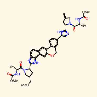 C=C1C[C@@H](c2ncc(-c3ccc4c(c3)COc3cc5c(ccc6nc([C@@H]7C[C@H](COC)CN7C(=O)[C@@H](NC(=O)OC)C(C)C)[nH]c65)cc3-4)[nH]2)N(C(=O)[C@@H](NC(=O)OC)C(C)C)C1